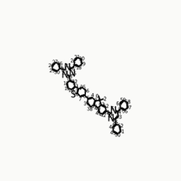 CC1(C)c2cc(C3=Cc4sc5ccc(-c6nc(-c7ccccc7)nc(-c7ccccc7)n6)cc5c4CC3)ccc2-c2ccc(-c3nc(-c4ccccc4)cc(-c4ccccc4)n3)cc21